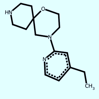 CCc1ccnc(N2CCOC3(CCNCC3)C2)c1